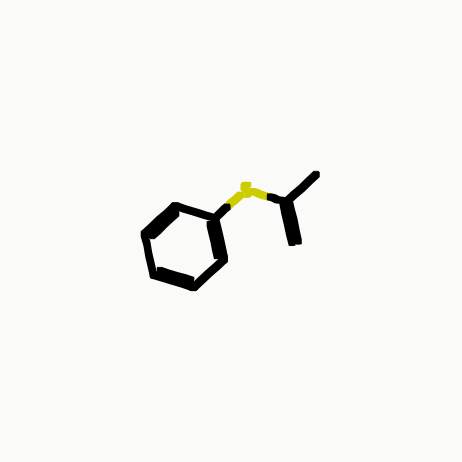 C=C(C)Sc1ccccc1